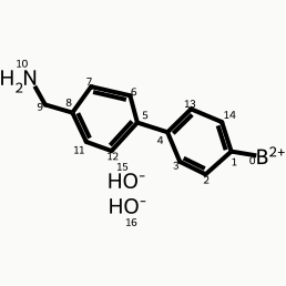 [B+2]c1ccc(-c2ccc(CN)cc2)cc1.[OH-].[OH-]